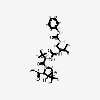 COC(=O)[C@@H]1[C@@H]2[C@H](CN1C(=O)[C@@H](NC(=O)NC(CNC(=O)Nc1ccccc1)C(C)C)C(C)(C)C)C2(C)C